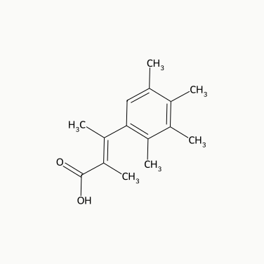 C/C(C(=O)O)=C(/C)c1cc(C)c(C)c(C)c1C